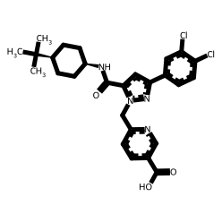 CC(C)(C)[C@H]1CC[C@@H](NC(=O)c2cc(-c3ccc(Cl)c(Cl)c3)nn2Cc2ccc(C(=O)O)cn2)CC1